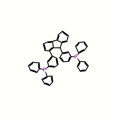 c1ccc(P(c2ccccc2)c2cccc(-c3cccc4c3C(c3cccc(P(c5ccccc5)c5ccccc5)c3)c3ccccc3-4)c2)cc1